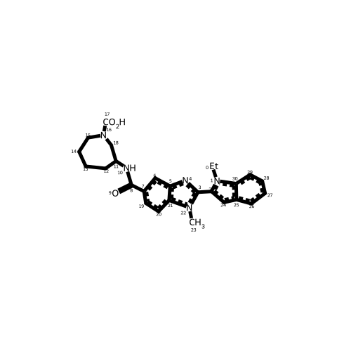 CCn1c(-c2nc3cc(C(=O)NC4CCCCN(C(=O)O)C4)ccc3n2C)cc2ccccc21